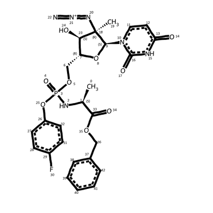 C[C@H](NP(=O)(OC[C@H]1O[C@H](n2ccc(=O)[nH]c2=O)[C@](C)(N=[N+]=[N-])[C@@H]1O)Oc1ccc(F)cc1)C(=O)OCc1ccccc1